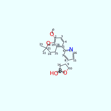 COc1ccc(-c2cc([C@@H]3COB(O)C3)ccn2)c2c1OC(C)(C)CC2